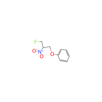 O=[N+]([O-])C(CF)COc1ccccc1